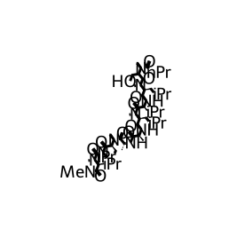 CCCC(=O)N(C)C(CO)C(=O)N(C)[C@@H](CC(C)C)C(=O)N[C@H](C(=O)N(C)[C@@H](CC(C)C)C(=O)N[C@@H](C)C(=O)N[C@H](C)C(=O)N(C)[C@@H](CC(C)C)C(=O)N(C)C(=O)N(C)[C@H](C(=O)NC)C(C)C)C(C)C